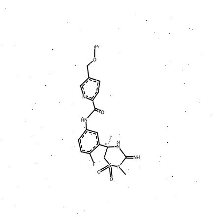 CC(C)OCc1ccc(C(=O)Nc2ccc(F)c([C@]3(C)CS(=O)(=O)N(C)C(=N)N3)c2)nc1